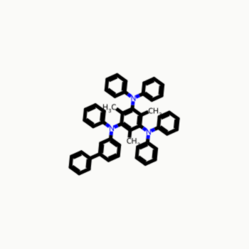 Cc1c(N(c2ccccc2)c2ccccc2)c(C)c(N(c2ccccc2)c2cccc(-c3ccccc3)c2)c(C)c1N(c1ccccc1)c1ccccc1